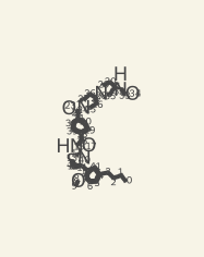 CCCCc1ccc(OC)c(-c2csc(NC(=O)c3ccc(C(=O)N4CCC(N5CC[C@@H](NC=O)C5)CC4)cc3)n2)c1